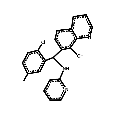 Cc1ccc(Cl)c(C(Nc2ccccn2)c2ccc3cccnc3c2O)c1